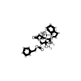 CC1(C)[C@H](C(=O)OCc2ccccc2)N2C(=O)C[C@H]2[S@@]1(CO)C(=O)N1CCc2ccccc21